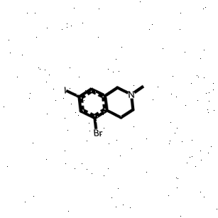 CN1CCc2c(Br)cc(I)cc2C1